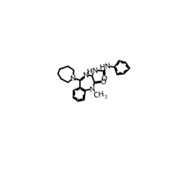 CN1C(=O)[C@H](NC(=O)Nc2ccccc2)N=C(N2CCCCCC2)c2ccccc21